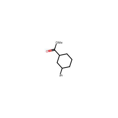 COC(=O)C1CCCC(C(C)C)C1